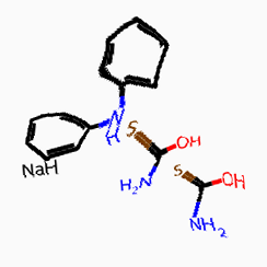 NC(O)=S.NC(O)=S.[NaH].c1ccc(Nc2ccccc2)cc1